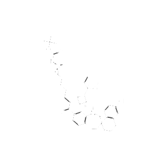 C=C[C@H](OC)[C@@H]1CC[C@H]1CN1C[C@@]2(CCCc3cc(Cl)ccc32)COc2ccc(C(=O)C=CCCCN=S(=O)=NC(=O)OC(C)(C)C)cc21